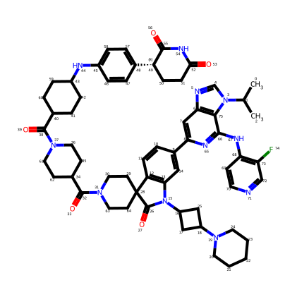 CC(C)n1cnc2cc(-c3ccc4c(c3)N(C3CC(N5CCCCC5)C3)C(=O)C43CCN(C(=O)C4CCN(C(=O)C5CCC(Nc6ccc([C@H]7CCC(=O)NC7=O)cc6)CC5)CC4)CC3)nc(Nc3ccncc3F)c21